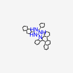 c1ccc(C2NC(c3ccc4ccccc4c3)NC(n3c4ccccc4c4c5c6ccccc6ccc5c5ccccc5c43)N2)cc1